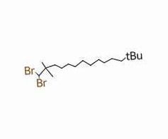 CC(C)(C)CCCCCCCCCCC(C)(C)C(Br)Br